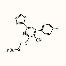 CCCCSCSc1nc(-c2nccs2)cc(-c2ccc(I)cc2)c1C#N